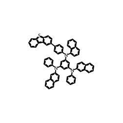 c1ccc(N(c2cc(N(c3ccccc3)c3ccc4ccccc4c3)cc(N(c3ccc(-c4ccc5sc6ccccc6c5c4)cc3)c3cccc4ccccc34)c2)c2ccc3ccccc3c2)cc1